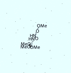 COCCOCCNC(=O)NCCC[Si](OC)(OC)OC